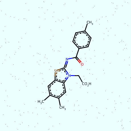 Cc1ccc(C(=O)N=c2sc3cc(C)c(C)cc3n2CC(=O)O)cc1